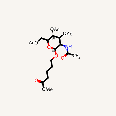 COC(=O)CCCCO[C@H]1OC(COC(C)=O)[C@H](OC(C)=O)C(OC(C)=O)C1NC(=O)C(F)(F)F